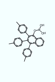 Cc1ccc(-c2c(-c3ccc(C)cc3)c(-c3ccc(C)cc3)c3ccccc3c2OB(O)O)cc1